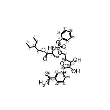 CCC(CC)COC(=O)C(C)NP(=O)(OCC1O[C@@H]([n+]2cccc(C(N)=O)c2)[C@H](O)[C@@H]1O)Oc1ccccc1